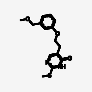 COCc1cccc(OCCc2cnc(SC)[nH]c2=O)c1